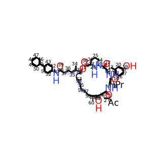 CC(=O)CC[C@H]1C(=O)N[C@@H](C(C)C)C(=O)N[C@@H](Cc2cccc(O)c2)C(=O)N2CCCC(N2)C(=O)O[C@H](/C(C)=C/C=C/C(=O)Nc2ccc(-c3ccccc3)cc2)C/C=C/C=C/C[C@H](C)[C@H]1O